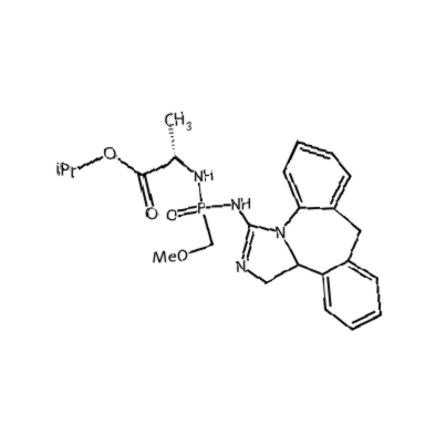 COCP(=O)(NC1=NCC2c3ccccc3Cc3ccccc3N12)N[C@@H](C)C(=O)OC(C)C